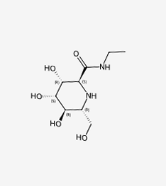 CCNC(=O)[C@H]1N[C@H](CO)[C@@H](O)[C@H](O)[C@@H]1O